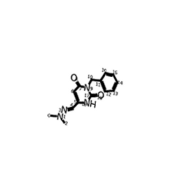 CN(C)/N=C/c1cc(=O)n(Cc2ccccc2)c(=O)[nH]1